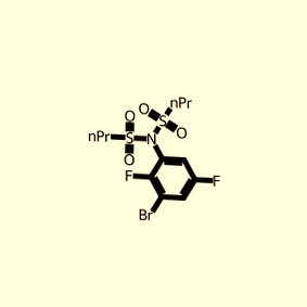 CCCS(=O)(=O)N(c1cc(F)cc(Br)c1F)S(=O)(=O)CCC